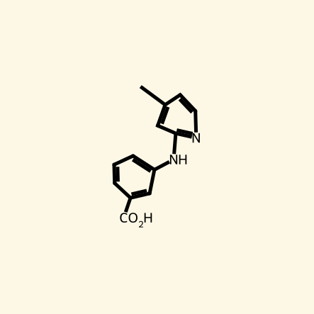 Cc1ccnc(Nc2cccc(C(=O)O)c2)c1